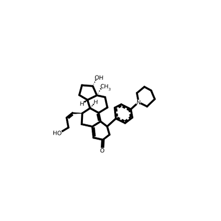 C[C@]12CCC3=C4C(=CC(=O)CC4c4ccc(N5CCCCC5)cc4)C[C@@H](/C=C\CO)[C@H]3[C@@H]1CC[C@@H]2O